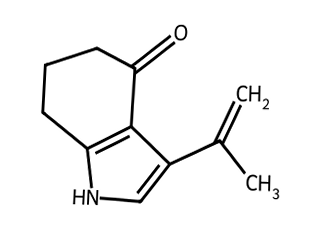 C=C(C)c1c[nH]c2c1C(=O)CCC2